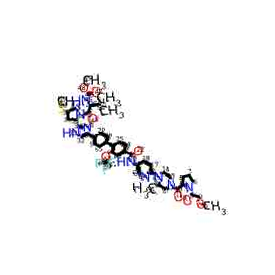 COCC(=O)N1CCCC1C(=O)N1CCN(c2ccc(NC(=O)c3ccc(-c4ccc(-c5c[nH]c([C@@H]6C[C@H](SC)CN6C(=O)[C@@H](NC(=O)OC)C(C)C)n5)cc4)c(OC(F)(F)F)c3)cn2)[C@H](C)C1